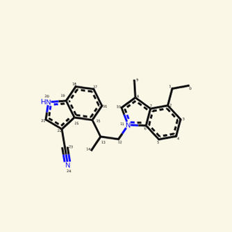 CCc1cccc2c1c(C)cn2CC(C)c1cccc2[nH]cc(C#N)c12